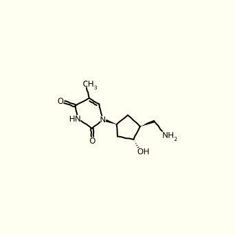 Cc1cn([C@H]2C[C@@H](CN)[C@H](O)C2)c(=O)[nH]c1=O